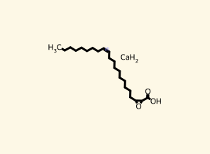 CCCCCCCC/C=C\CCCCCCCCCC1OC1C(=O)O.[CaH2]